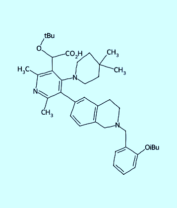 Cc1nc(C)c(C(OC(C)(C)C)C(=O)O)c(N2CCC(C)(C)CC2)c1-c1ccc2c(c1)CCN(Cc1ccccc1OCC(C)C)C2